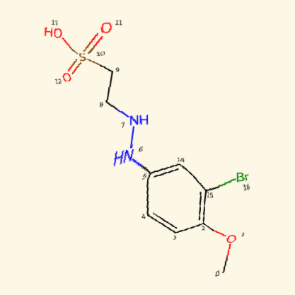 COc1ccc(NNCCS(=O)(=O)O)cc1Br